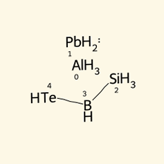 [AlH3].[PbH2].[SiH3]B[TeH]